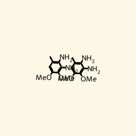 COc1cc(C)c(N)c(N)c1OC.COc1cc(C)c(N)c(N)c1OC